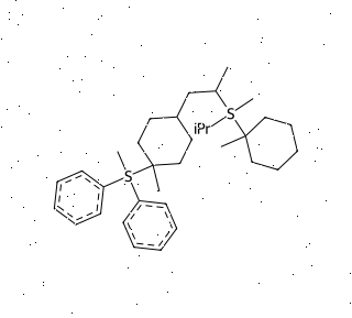 CC(C)S(C)(C(C)CC1CCC(C)(S(C)(c2ccccc2)c2ccccc2)CC1)C1(C)CCCCC1